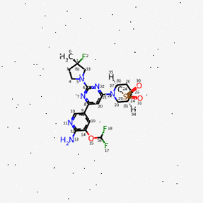 C[C@]1(F)CCN(c2nc(-c3cnc(N)c(OC(F)F)c3)cc(N3C[C@@H]4CC[C@H]3CS4(=O)=O)n2)C1